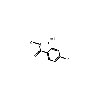 Cl.Cl.O=C([NH][Zr])c1ccc(Br)cc1